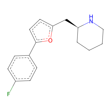 Fc1ccc(-c2ccc(C[C@@H]3CCCCN3)o2)cc1